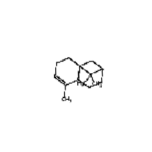 CC1=CCCC23CC(CCC12)C3(C)C